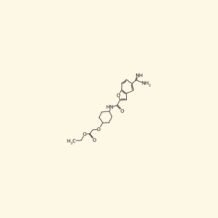 CCOC(=O)COC1CCC(NC(=O)c2cc3cc(C(=N)N)ccc3o2)CC1